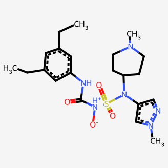 CCc1cc(CC)cc(NC(=O)[NH+]([O-])S(=O)(=O)N(c2cnn(C)c2)C2CCN(C)CC2)c1